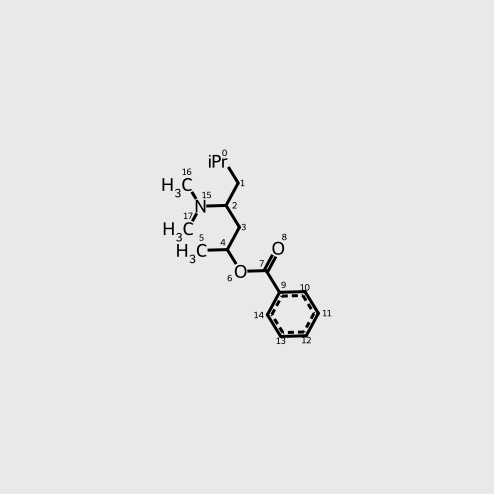 CC(C)CC(CC(C)OC(=O)c1ccccc1)N(C)C